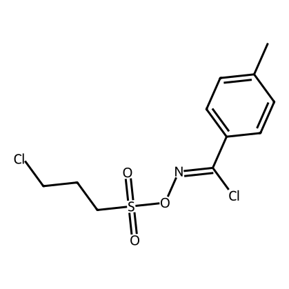 Cc1ccc(C(Cl)=NOS(=O)(=O)CCCCl)cc1